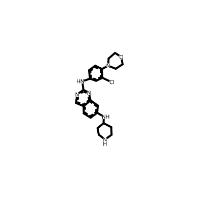 Clc1cc(Nc2ncc3ccc(NC4CCNCC4)cc3n2)ccc1N1CCOCC1